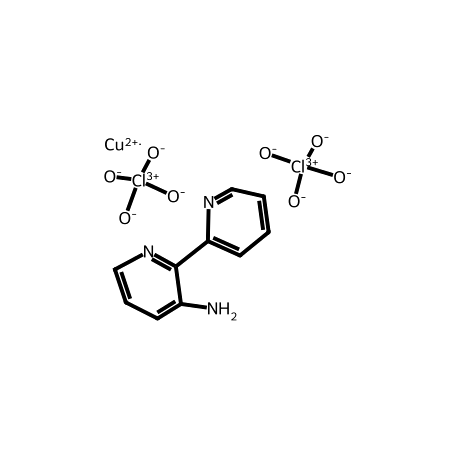 Nc1cccnc1-c1ccccn1.[Cu+2].[O-][Cl+3]([O-])([O-])[O-].[O-][Cl+3]([O-])([O-])[O-]